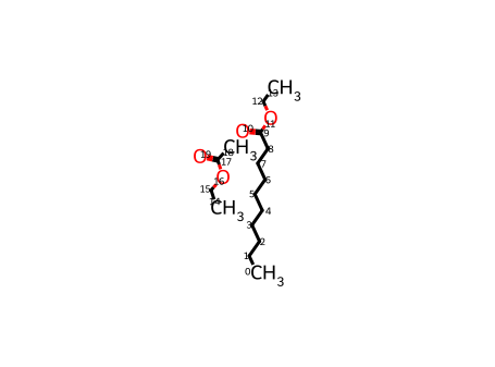 CCCCCCCCCC(=O)OCC.CCOC(C)=O